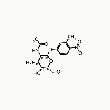 CC(=O)N[C@H]1[C@H](Oc2ccc([N+](=O)[O-])c(C)c2)O[C@H](CO)[C@@H](O)[C@@H]1O